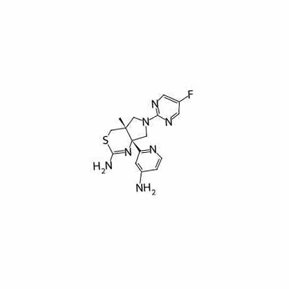 C[C@]12CSC(N)=N[C@@]1(c1cc(N)ccn1)CN(c1ncc(F)cn1)C2